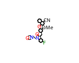 COc1cc(C=C2C(=O)N(CCN3CCOCC3)c3ccc(F)cc32)ccc1Oc1ccc(C#N)c2ccccc12